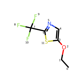 CCOc1cnc(C(F)(F)F)s1